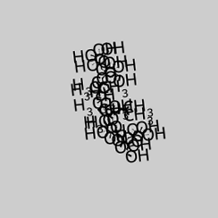 CC(C)=CCC[C@](C)(O[C@@H]1O[C@H](CO[C@@H]2O[C@@H](CO)[C@H](O)[C@H]2O[C@@H]2OC[C@@H](O)[C@H](O)[C@H]2O)[C@@H](O)[C@H](O)[C@H]1O)[C@H]1CC[C@]2(C)[C@@H]1[C@H](O)C[C@@H]1[C@@]3(C)CC[C@H](O[C@@H]4O[C@H](CO)[C@@H](O)[C@H](O)[C@H]4O[C@@H]4O[C@H](CO)[C@@H](O)[C@H](O)[C@H]4O)C(C)(C)[C@@H]3CC[C@]12C